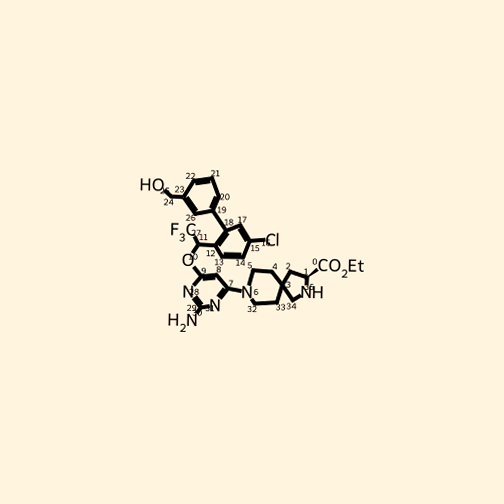 CCOC(=O)[C@@H]1CC2(CCN(c3cc(OC(c4ccc(Cl)cc4-c4cccc(CO)c4)C(F)(F)F)nc(N)n3)CC2)CN1